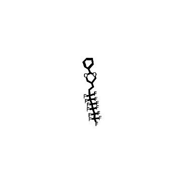 FC(F)(F)C(F)(F)C(F)(F)C(F)(F)C(F)(F)C(F)(F)CCC1COC(c2ccccc2)OC1